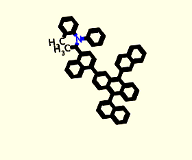 Cc1ccccc1N(c1ccccc1)C(C)c1ccc(-c2ccc3c(-c4cccc5ccccc45)c4ccccc4c(-c4ccc5ccccc5c4)c3c2)c2ccccc12